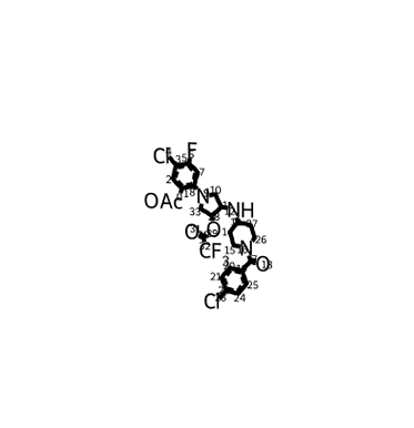 CC(=O)Oc1cc(Cl)c(F)cc1N1CC(NC2CCN(C(=O)c3ccc(Cl)cc3)CC2)C(OC(=O)C(F)(F)F)C1